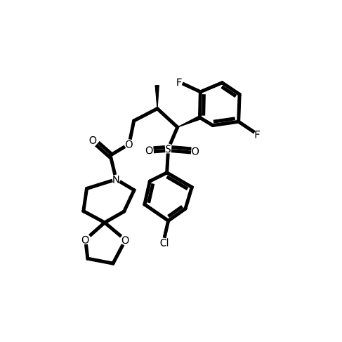 C[C@H](COC(=O)N1CCC2(CC1)OCCO2)[C@@H](c1cc(F)ccc1F)S(=O)(=O)c1ccc(Cl)cc1